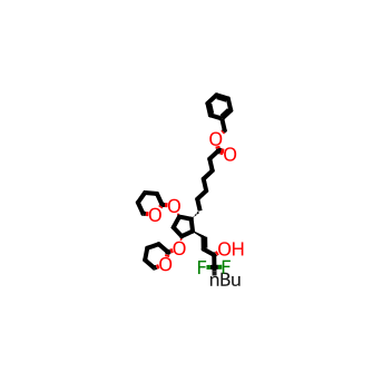 CCCCC(F)(F)C(O)/C=C/[C@@H]1[C@@H](CCCCCCC(=O)OCc2ccccc2)[C@@H](OC2CCCCO2)C[C@H]1OC1CCCCO1